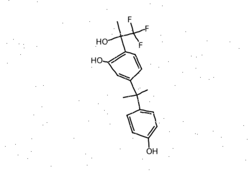 CC(C)(c1ccc(O)cc1)c1ccc(C(C)(O)C(F)(F)F)c(O)c1